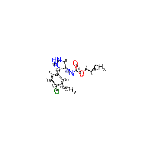 C=CCOC(=O)/N=C1\CNN=C1c1ccc(Cl)c(C)c1